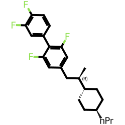 CCC[C@H]1CC[C@H]([C@H](C)Cc2cc(F)c(-c3ccc(F)c(F)c3)c(F)c2)CC1